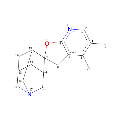 Cc1cnc2c(c1C)CC1(O2)C2CC3CC1CN(C3)C2